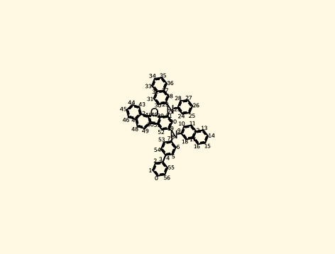 c1ccc(-c2ccc(N(c3ccc4ccccc4c3)c3cc(N(c4ccccc4)c4ccc5ccccc5c4)c4oc5c6ccccc6ccc5c4c3)cc2)cc1